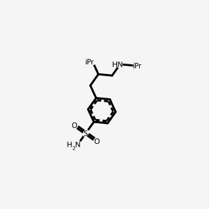 CC(C)NCC(Cc1cccc(S(N)(=O)=O)c1)C(C)C